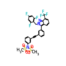 CS(=O)(=O)N(c1cccc(C#Cc2cccc(-c3c4cccc(C(F)(F)F)c4nn3Cc3c(F)cc(F)cc3F)c2)c1)S(C)(=O)=O